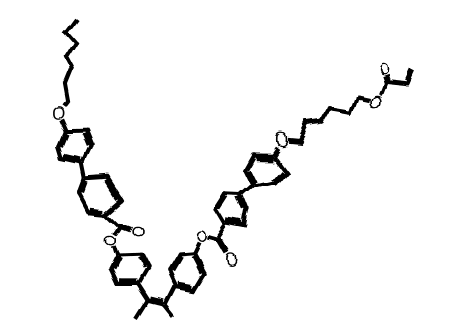 C=CC(=O)OCCCCCCOc1ccc(-c2ccc(C(=O)Oc3ccc(/C(C)=C(/C)c4ccc(OC(=O)c5ccc(-c6ccc(OCCCCCCC)cc6)cc5)cc4)cc3)cc2)cc1